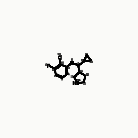 Fc1cccc(OC(C2CC2)[C@H]2CCNC2)c1Cl